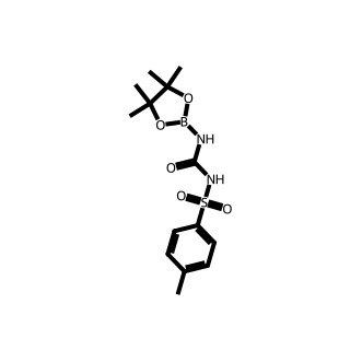 Cc1ccc(S(=O)(=O)NC(=O)NB2OC(C)(C)C(C)(C)O2)cc1